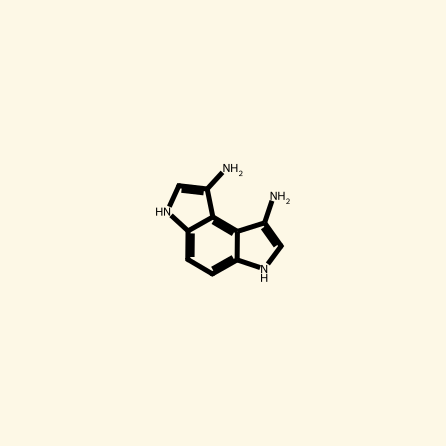 Nc1c[nH]c2ccc3[nH]cc(N)c3c12